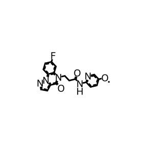 COc1ccc(NC(=O)CCn2c(=O)c3ccnn3c3ccc(F)cc32)nc1